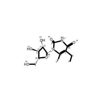 CCc1c(F)n([C@@H]2O[C@H](CO)[C@@H](O)[C@@H]2O)c(=O)[nH]c1=O